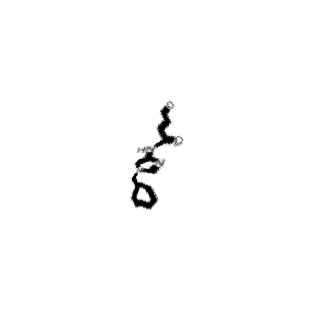 O=C/C=C/C(=O)Nc1cn(Cc2ccccc2)cn1